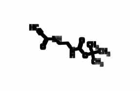 C#CC(=O)NCCNC(=O)OC(C)(C)C